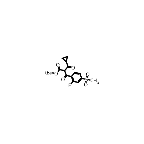 CC(C)(C)OC(=O)C(C(=O)c1ccc(S(C)(=O)=O)cc1F)C(=O)C1CC1